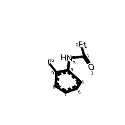 CCC(=O)Nc1ccccc1I